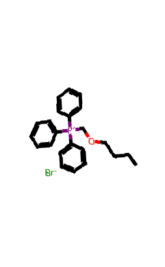 CCCCOC[P+](c1ccccc1)(c1ccccc1)c1ccccc1.[Br-]